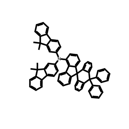 CC1(C)c2ccccc2-c2ccc(N(c3ccc4c(c3)C(C)(C)c3ccccc3-4)c3cccc4c3-c3ccccc3C43c4ccccc4C(c4ccccc4)(c4ccccc4)c4ccccc43)cc21